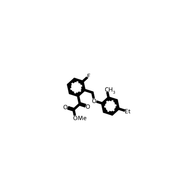 CCc1ccc(OCc2c(F)cccc2C(=O)C(=O)OC)c(C)c1